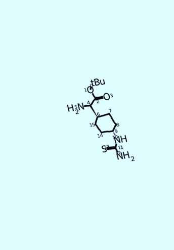 CC(C)(C)OC(=O)C(N)[C@H]1CC[C@H](NC(N)=S)CC1